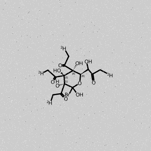 [2H]CC(=O)C(O)[C@H]1OC(O)(Br)[C@@](O)(C(=O)C[2H])[C@](O)(C(=O)C[2H])[C@@]1(O)C(=O)C[2H]